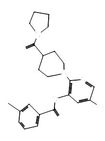 O=C(Nc1cc(Cl)cnc1N1CCC(C(=O)N2CCCC2)CC1)c1cccc(Cl)c1